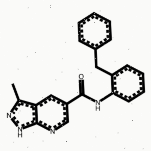 Cc1n[nH]c2ncc(C(=O)Nc3ccccc3Cc3ccccc3)cc12